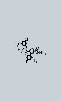 Cc1cc(F)ccc1C1CN(C(=O)C(N)=O)CCC1C(=O)N(C)Cc1cc(Cl)cc(C(F)(F)F)c1